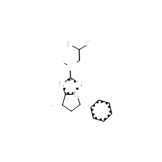 [O-][S+](CC(F)F)c1nc2n(n1)[C@H](c1ccccc1)C[C@@H]2F